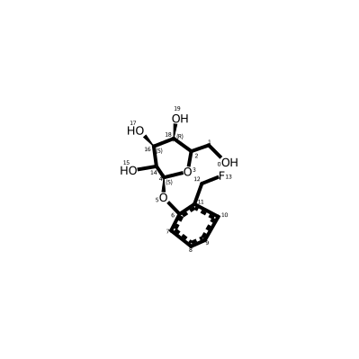 OCC1O[C@@H](Oc2ccccc2CF)C(O)[C@@H](O)[C@H]1O